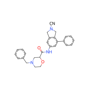 N#CN1Cc2cc(NC(=O)C3CN(Cc4ccccc4)CCO3)cc(-c3ccccc3)c2C1